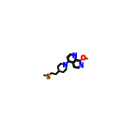 COc1nccc2c(N3CCC(CCSC)CC3)ccnc12